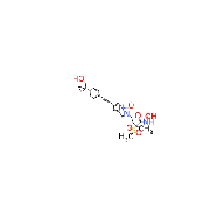 CC(CCN1Cc2cc(C#Cc3ccc(C4(CO)CC4)cc3)cn2C1=O)(C(=O)NO)S(C)(=O)=O